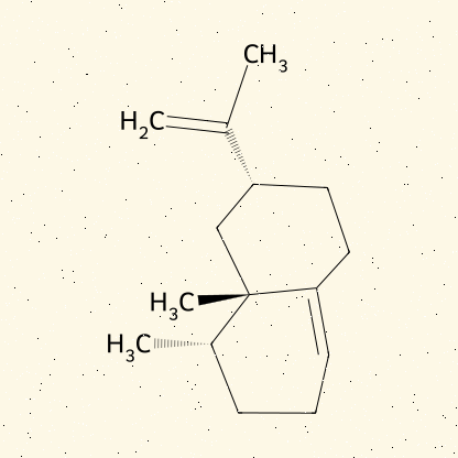 C=C(C)[C@@H]1CCC2=CCC[C@H](C)[C@]2(C)C1